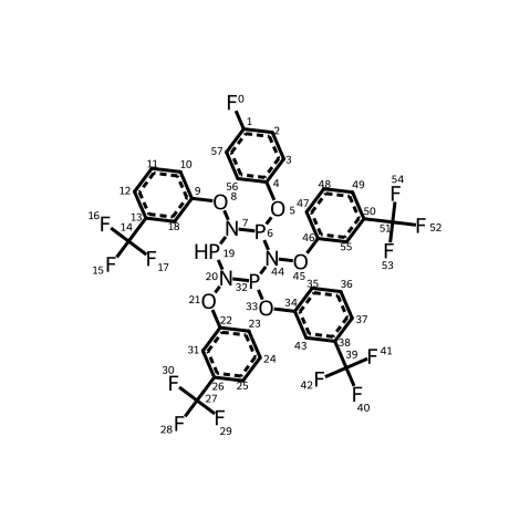 Fc1ccc(OP2N(Oc3cccc(C(F)(F)F)c3)PN(Oc3cccc(C(F)(F)F)c3)P(Oc3cccc(C(F)(F)F)c3)N2Oc2cccc(C(F)(F)F)c2)cc1